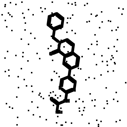 CCCCC(=O)Nc1ncc(-c2ccc3ccn(Cc4ccccc4)c(=O)c3c2)cn1